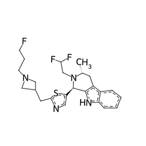 C[C@@H]1Cc2c([nH]c3ccccc23)[C@@H](c2cnc(CC3CN(CCCF)C3)s2)N1CC(F)F